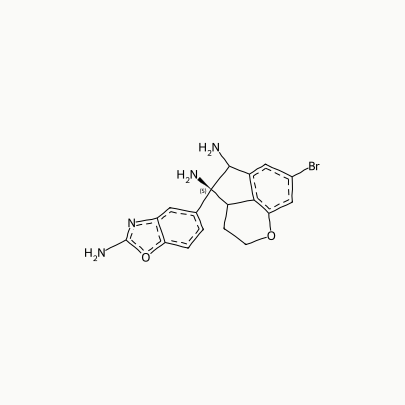 Nc1nc2cc([C@]3(N)C(N)c4cc(Br)cc5c4C3CCO5)ccc2o1